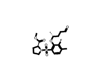 COC(=O)[C@@H]1CCCN1S(=O)(=O)c1ccc(C)c(F)c1O[C@H](C)CCC=O